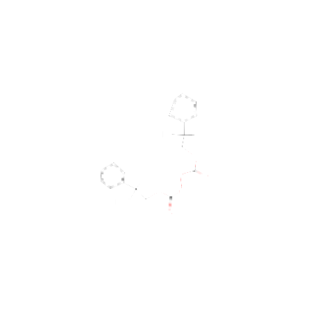 CCC(C)(COC(=O)OOC(=O)OCC(C)(CC)c1ccccc1)c1ccccc1